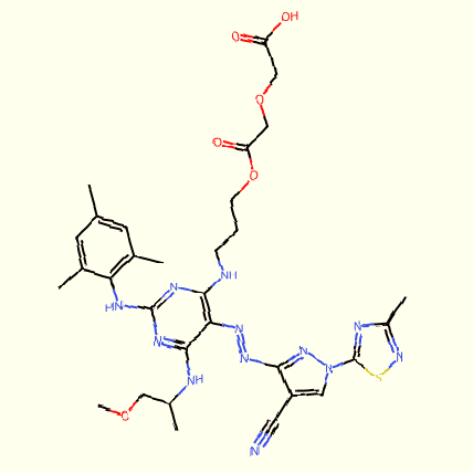 COCC(C)Nc1nc(Nc2c(C)cc(C)cc2C)nc(NCCCOC(=O)COCC(=O)O)c1N=Nc1nn(-c2nc(C)ns2)cc1C#N